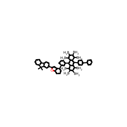 Bc1c(B)c(B)c2c(-c3cccc(-c4cccc5oc(-c6ccc7c(c6)C(C)(C)c6ccccc6-7)cc45)c3)c3c(B)c(B)c(B)c(B)c3c(-c3ccc(-c4ccccc4)cc3)c2c1B